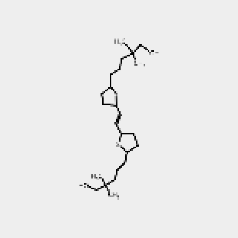 CC(C)(CO)CCCC1CCC(C=CC2CCC(CCCC(C)(C)CO)S2)S1